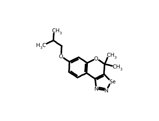 CC(C)COc1ccc2c(c1)OC(C)(C)c1[se]nnc1-2